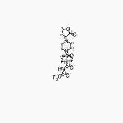 O=C1OCCC1N1CCN(S(=O)(=O)C(F)(F)[S+]([O-])N[S+]([O-])C(F)(F)F)CC1